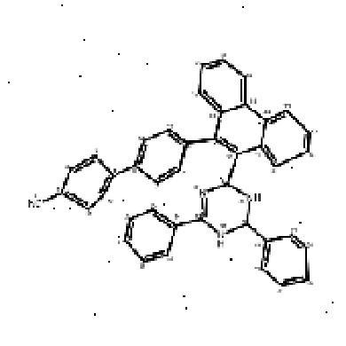 N#Cc1ccc(-c2ccc(-c3c(C4N=C(c5ccccc5)NC(c5ccccc5)N4)c4ccccc4c4ccccc34)cc2)cc1